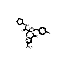 CCOC(=O)c1cc2n(n1)CC(C)(C(=O)NC1CCCC1)N(Cc1ccc(Cl)cc1)C2=O